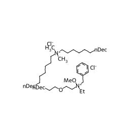 CCCCCCCCCCCCCCCC[N+](C)(C)CCCCCCCCCCCCCCCC.CCCCCCCCCCCCOCC[N+](CC)(Cc1ccccc1)OC.[Cl-].[Cl-]